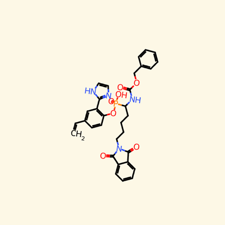 C=Cc1ccc(OP(=O)(O)C(CCCCN2C(=O)c3ccccc3C2=O)NC(=O)OCc2ccccc2)c(-c2ncc[nH]2)c1